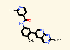 CNc1ncc2cc(-c3cc(NC(=O)c4ccnc(C(F)(F)F)c4)ccc3C)cnc2n1